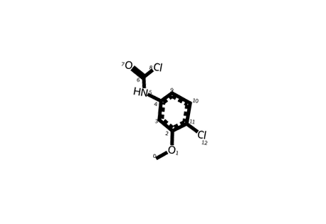 COc1cc(NC(=O)Cl)ccc1Cl